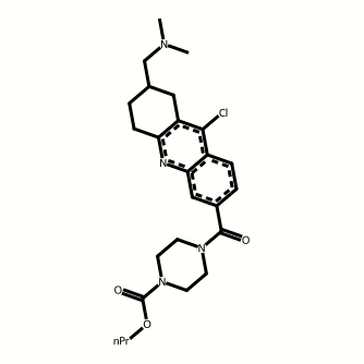 CCCOC(=O)N1CCN(C(=O)c2ccc3c(Cl)c4c(nc3c2)CCC(CN(C)C)C4)CC1